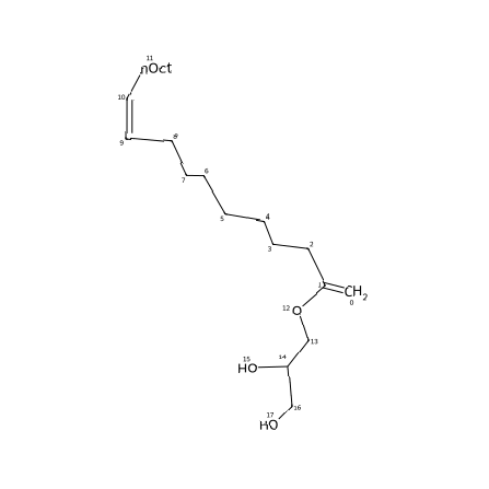 C=C(CCCCCCC/C=C\CCCCCCCC)OCC(O)CO